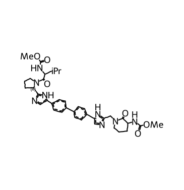 COC(=O)NC1CCCN(Cc2ncc(-c3ccc(-c4ccc(-c5cnc([C@H]6CCCN6C(=O)C(NC(=O)OC)C(C)C)[nH]5)cc4)cc3)[nH]2)C1=O